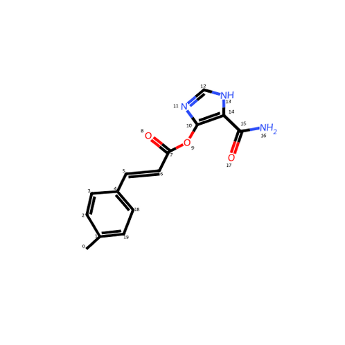 Cc1ccc(C=CC(=O)Oc2nc[nH]c2C(N)=O)cc1